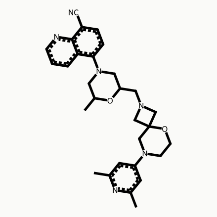 Cc1cc(N2CCOC3(CN(CC4CN(c5ccc(C#N)c6ncccc56)CC(C)O4)C3)C2)cc(C)n1